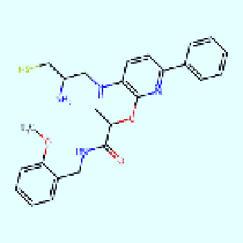 CC(Oc1nc(-c2ccccc2)ccc1NCC(N)CS)C(=O)NCc1ccccc1OC(F)(F)F